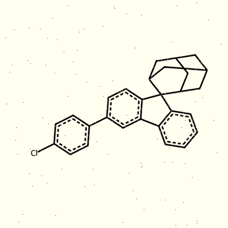 Clc1ccc(-c2ccc3c(c2)-c2ccccc2C32C3CC4CC(C3)CC2C4)cc1